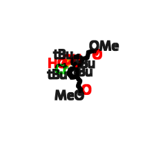 COC(=O)CCc1cc(C(C)(C)C)c(P(O)(O)(Cl)c2c(C(C)(C)C)cc(CCC(=O)OC)cc2C(C)(C)C)c(C(C)(C)C)c1